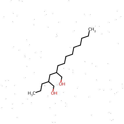 CCCCCCCCCC(CO)CC(CO)CCC